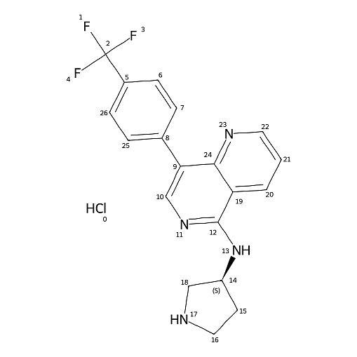 Cl.FC(F)(F)c1ccc(-c2cnc(N[C@H]3CCNC3)c3cccnc23)cc1